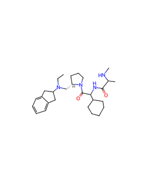 CCN(C[C@@H]1CCCN1C(=O)C(NC(=O)C(C)NC)C1CCCCC1)C1Cc2ccccc2C1